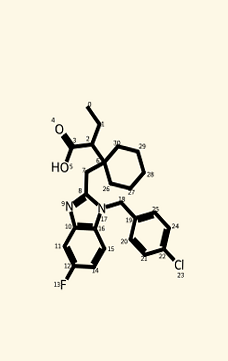 CCC(C(=O)O)C1(Cc2nc3cc(F)ccc3n2Cc2ccc(Cl)cc2)CCCCC1